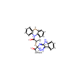 CCCCCC(=O)C1(SC(CC)C(=O)N2c3ccccc3Sc3ccccc32)N=c2[nH]c3ccccc3c2=NN1